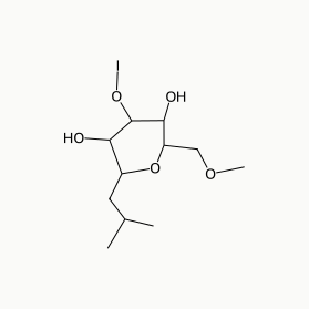 COCC1OC(CC(C)C)C(O)C(OI)C1O